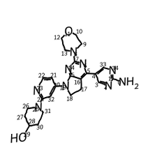 Nc1ncc(-c2nc(N3CCOCC3)nc3c2CCN3c2ccnc(N3CCC(O)CC3)c2)cn1